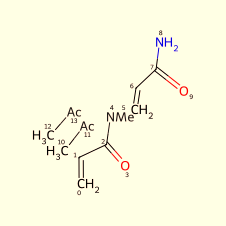 C=CC(=O)NC.C=CC(N)=O.CC(C)=O.CC(C)=O